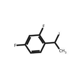 CC(I)c1ccc(F)cc1F